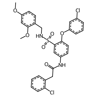 COc1ccc(CNS(=O)(=O)c2cc(NC(=O)Cc3ccccc3Cl)ccc2Oc2cccc(Cl)c2)c(OC)c1